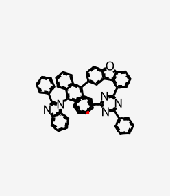 c1ccc(-c2nc(-c3ccccc3)nc(-c3cccc4oc5ccc(-c6c7ccccc7c(-n7c(-c8ccccc8)nc8ccccc87)c7ccccc67)cc5c34)n2)cc1